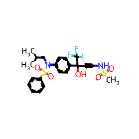 CC(C)CN(c1ccc(C(O)(C#CNS(C)(=O)=O)C(F)(F)F)cc1)S(=O)(=O)c1ccccc1